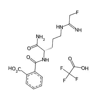 N=C(CF)NCCC[C@H](NC(=O)c1ccccc1C(=O)O)C(N)=O.O=C(O)C(F)(F)F